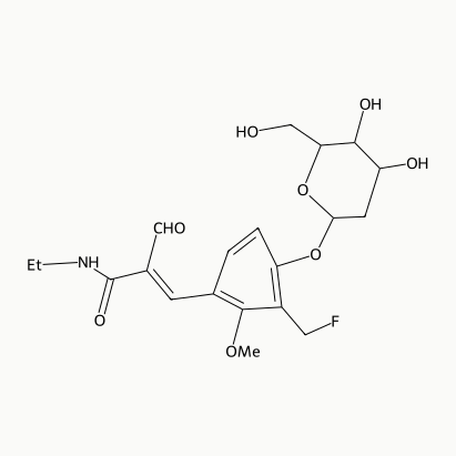 CCNC(=O)/C(C=O)=C/c1ccc(OC2CC(O)C(O)C(CO)O2)c(CF)c1OC